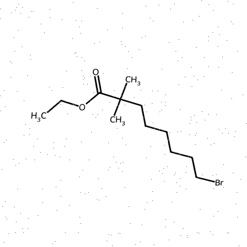 CCOC(=O)C(C)(C)CCCCCCBr